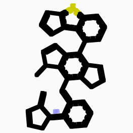 C=C1C=CC/C1=c1\ccccc1=Cc1c2c(c(-c3cccc4sc5c(c34)C=C=C5)c3c1C(C)C=C3)C=CC2